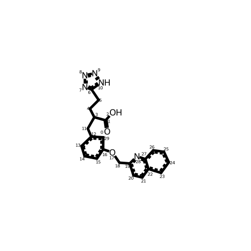 O=C(O)C(CCc1nnn[nH]1)Cc1cccc(OCc2ccc3ccccc3n2)c1